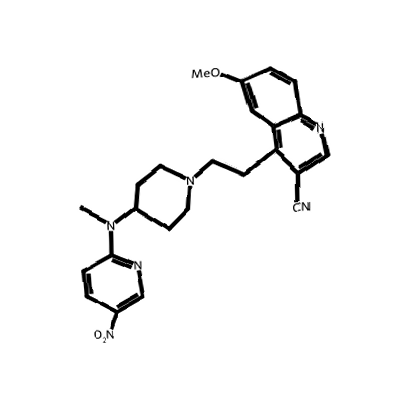 COc1ccc2ncc(C#N)c(CCN3CCC(N(C)c4ccc([N+](=O)[O-])cn4)CC3)c2c1